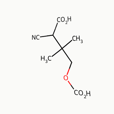 CC(C)(COC(=O)O)C(C#N)C(=O)O